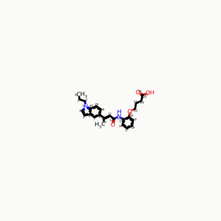 CCCn1ccc2cc(/C(C)=C/C(=O)Nc3ccccc3OCCCC(=O)O)ccc21